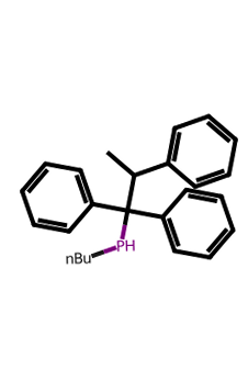 CCCCPC(c1ccccc1)(c1ccccc1)C(C)c1ccccc1